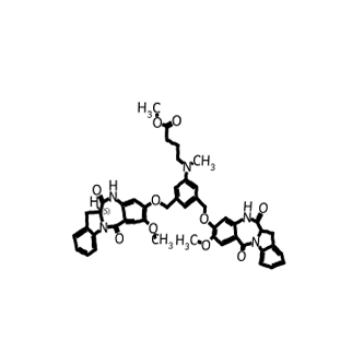 COC(=O)CCCN(C)c1cc(COc2cc3c(cc2OC)C(=O)N2c4ccccc4CC2C(=O)N3)cc(COc2cc3c(cc2OC)C(=O)N2c4ccccc4C[C@H]2C(=O)N3)c1